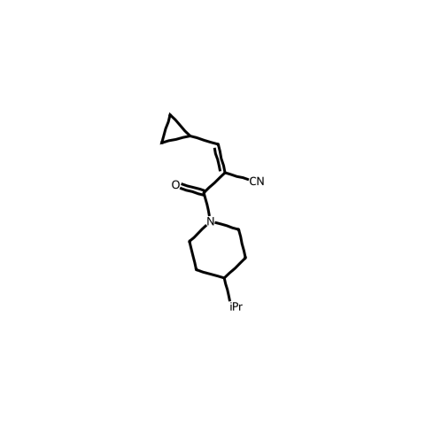 CC(C)C1CCN(C(=O)/C(C#N)=C\C2CC2)CC1